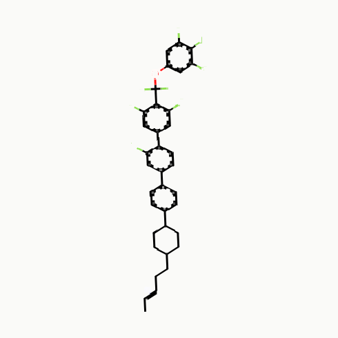 C/C=C/CCC1CCC(c2ccc(-c3ccc(-c4cc(F)c(C(F)(F)Oc5cc(F)c(F)c(F)c5)c(F)c4)c(F)c3)cc2)CC1